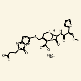 CO/N=C(\C(=O)NC1C(=O)N2C(C(=O)[O-])=C(CSc3ccc4nn(CCC(=O)[O-])c(=O)n4n3)CS[C@@H]12)c1ccco1.[Na+].[Na+]